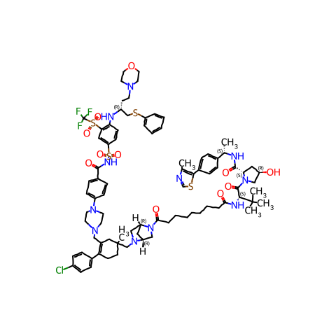 Cc1ncsc1-c1ccc([C@H](C)NC(=O)[C@@H]2C[C@@H](O)CN2C(=O)[C@@H](NC(=O)CCCCCCCC(=O)N2C[C@H]3C[C@@H]2CN3CC2(C)CCC(c3ccc(Cl)cc3)=C(CN3CCN(c4ccc(C(=O)NS(=O)(=O)c5ccc(N[C@H](CCN6CCOCC6)CSc6ccccc6)c(S(=O)(=O)C(F)(F)F)c5)cc4)CC3)C2)C(C)(C)C)cc1